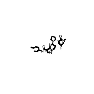 C=C/C=C\C(=C/C)NC(=O)c1cnn2ccc(N3CCC[C@@H]3c3cc(F)cn(C)c3=O)nc12